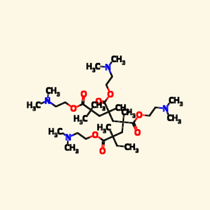 CCC(C)(CC(C)(CC(C)(CC(C)(C)C(=O)OCCN(C)C)C(=O)OCCN(C)C)C(=O)OCCN(C)C)C(=O)OCCN(C)C